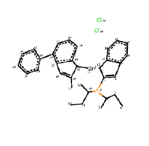 CCC(C)P(C1=Cc2ccccc2[CH]1[Zr+2][CH]1C(C)=Cc2c(-c3ccccc3)cccc21)C(C)CC.[Cl-].[Cl-]